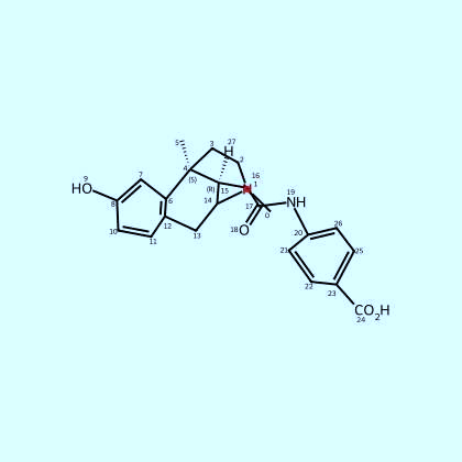 CN1CC[C@]2(C)c3cc(O)ccc3CC1[C@@H]2CC(=O)Nc1ccc(C(=O)O)cc1